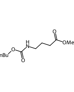 CCCCOC(=O)NCCCC(=O)OC